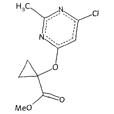 COC(=O)C1(Oc2cc(Cl)nc(C)n2)CC1